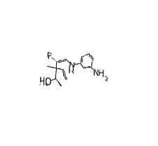 C=CC(C)(/C(F)=C\Nc1cccc(N)c1)[C@@H](C)O